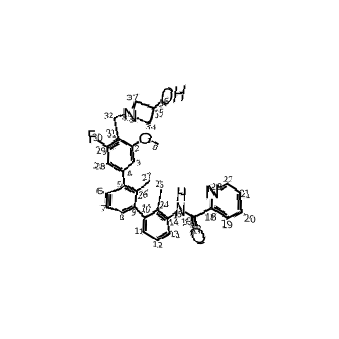 COc1cc(-c2cccc(-c3cccc(NC(=O)c4ccccn4)c3C)c2C)cc(F)c1CN1CC(O)C1